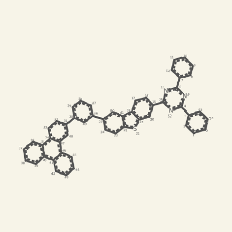 c1ccc(-c2nc(-c3ccccc3)nc(-c3ccc4c(c3)sc3ccc(-c5cccc(-c6ccc7c8ccccc8c8ccccc8c7c6)c5)cc34)n2)cc1